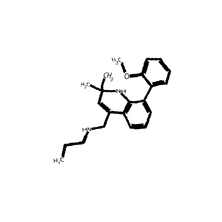 CCCNCC1=CC(C)(C)Nc2c1cccc2-c1ccccc1OC